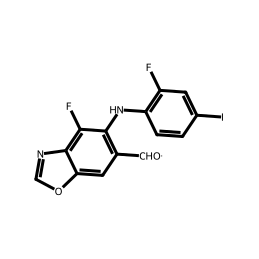 O=[C]c1cc2ocnc2c(F)c1Nc1ccc(I)cc1F